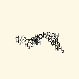 CCC(CC)COC(=O)[C@H](C)N[PH](=O)Oc1cccc(OCC2O[C@@](C#N)(c3ccc4c(N)ncnn34)[C@H](O)[C@@H]2O)c1